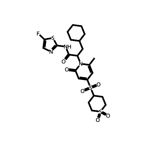 Cc1cc(S(=O)(=O)C2CCS(=O)(=O)CC2)cc(=O)n1C(CC1CCCCC1)C(=O)Nc1ncc(F)s1